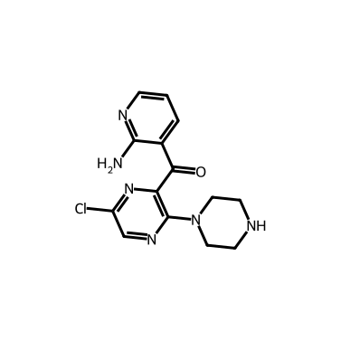 Nc1ncccc1C(=O)c1nc(Cl)cnc1N1CCNCC1